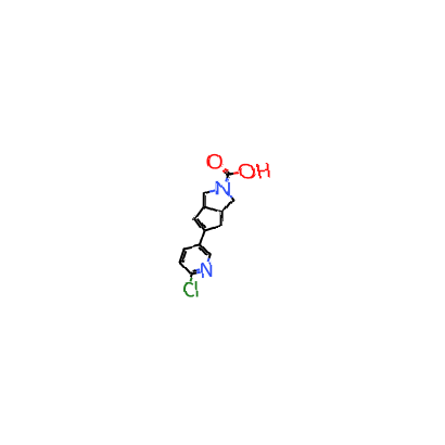 O=C(O)N1CC2C=C(c3ccc(Cl)nc3)CC2C1